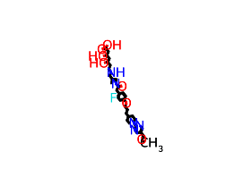 COCc1cnc(N2CCC(CCCOc3ccc(CC(=O)N4CC(CNCCC(O)CC(O)CC(=O)O)C4)c(F)c3)CC2)nc1